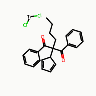 CCCCC(C(=O)c1ccccc1)(C(=O)c1ccccc1)C1C=CC=C1.[Cl][Ti][Cl]